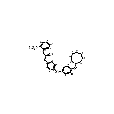 O=C(Cc1ccc(Oc2ccc(OC3CCCCCCC3)cc2)cc1)Nc1ccccc1C(=O)O